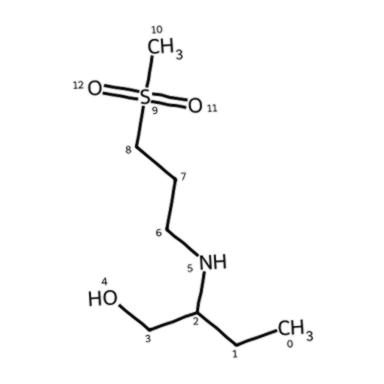 CCC(CO)NCCCS(C)(=O)=O